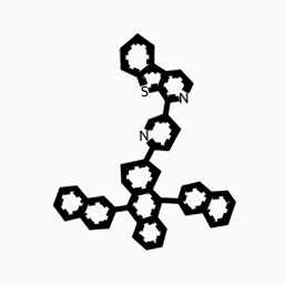 c1ccc2cc(-c3c4ccccc4c(-c4ccc5ccccc5c4)c4cc(-c5ccc(-c6nccc7c6sc6ccccc67)cn5)ccc34)ccc2c1